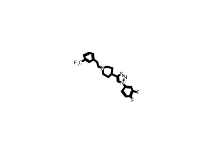 Fc1ccc(-n2cc(C3CCN(CCc4cccc(C(F)(F)F)c4)CC3)nn2)cc1F